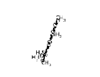 COCCOCCCO[SiH2]CCCSSSSCCC[SiH2]OC(COC)OC